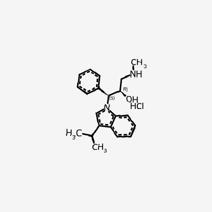 CNC[C@@H](O)[C@H](c1ccccc1)n1cc(C(C)C)c2ccccc21.Cl